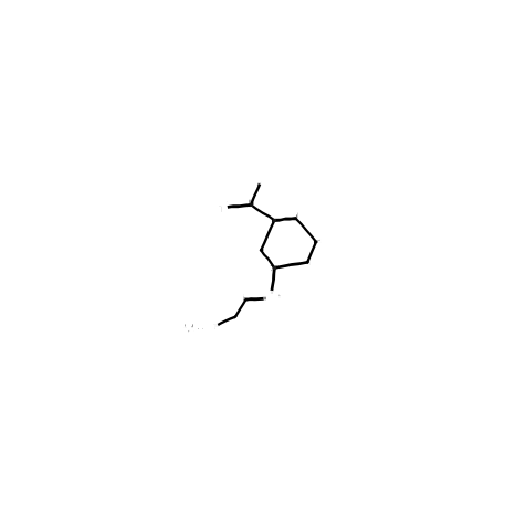 CCC(C(C)C)C1CCCC(OCCOC)C1